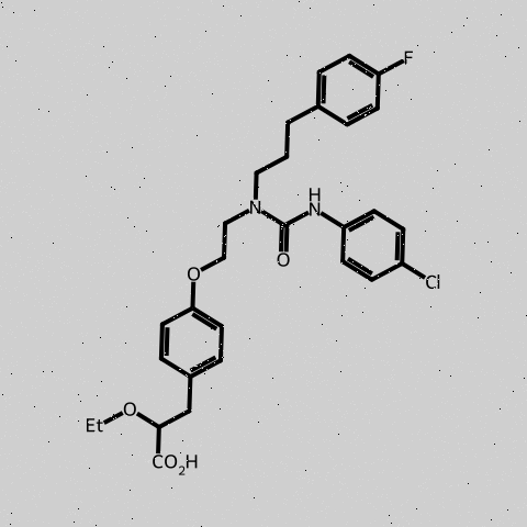 CCOC(Cc1ccc(OCCN(CCCc2ccc(F)cc2)C(=O)Nc2ccc(Cl)cc2)cc1)C(=O)O